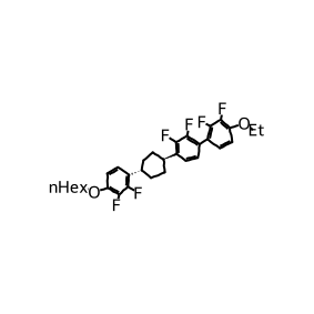 CCCCCCOc1ccc([C@H]2CC[C@H](c3ccc(-c4ccc(OCC)c(F)c4F)c(F)c3F)CC2)c(F)c1F